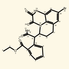 CCOC(=O)c1ccccc1C(C(N)=O)C1CCc2cc(Br)cc3[nH]c(=O)c(=O)n1c23